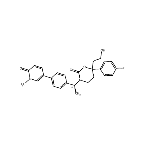 C[C@@H](c1ccc(-c2ccc(=O)n(C)c2)cc1)N1CCC(CCO)(c2ccc(F)cc2)OC1=O